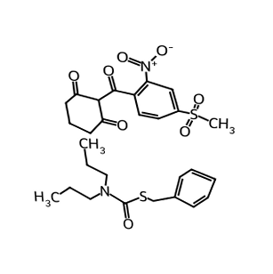 CCCN(CCC)C(=O)SCc1ccccc1.CS(=O)(=O)c1ccc(C(=O)C2C(=O)CCCC2=O)c([N+](=O)[O-])c1